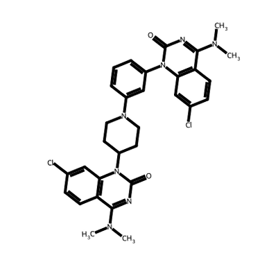 CN(C)c1nc(=O)n(-c2cccc(N3CCC(n4c(=O)nc(N(C)C)c5ccc(Cl)cc54)CC3)c2)c2cc(Cl)ccc12